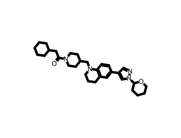 O=C(CC1CCCCC1)N1CCC(CN2CCCc3cc(-c4cnn(C5CCCCO5)c4)ccc32)CC1